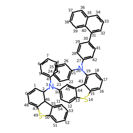 C1=CC(N(c2ccccc2)c2ccc3sc4cccc(N(c5ccccc5)c5ccc(-c6cccc7ccccc67)cc5)c4c3c2)C2C(=C1)Sc1ccccc12